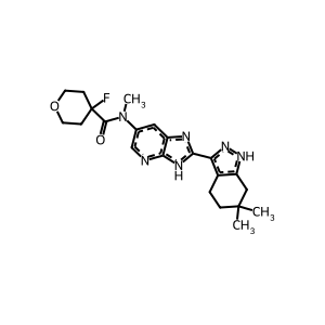 CN(C(=O)C1(F)CCOCC1)c1cnc2[nH]c(-c3n[nH]c4c3CCC(C)(C)C4)nc2c1